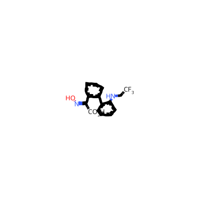 O=C(O)/C(=N/O)c1ccccc1-c1ccccc1NCC(F)(F)F